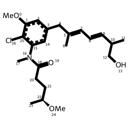 COc1cc(C/C(C)=C/C=C/C(C)CO)cc(N(C)C(=O)CC[C@H](C)OC)c1Cl